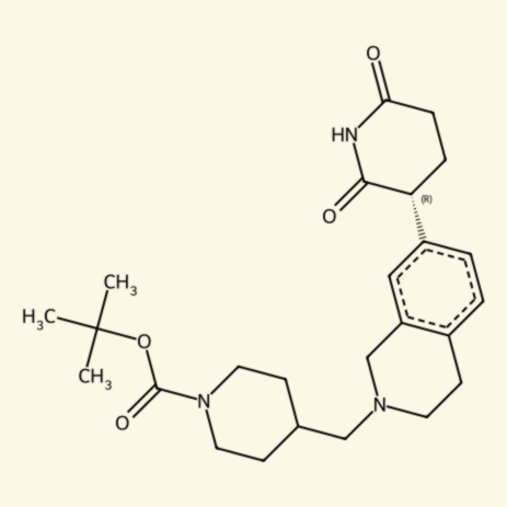 CC(C)(C)OC(=O)N1CCC(CN2CCc3ccc([C@H]4CCC(=O)NC4=O)cc3C2)CC1